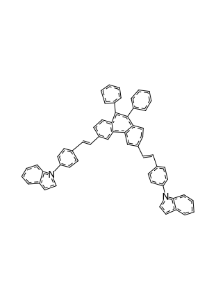 C(=C\c1ccc2c(-c3ccccc3)c(-c3ccccc3)c3ccc(/C=C/c4ccc(-n5ccc6ccccc65)cc4)cc3c2c1)/c1ccc(-n2ccc3ccccc32)cc1